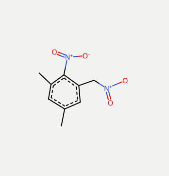 Cc1cc(C)c([N+](=O)[O-])c(C[N+](=O)[O-])c1